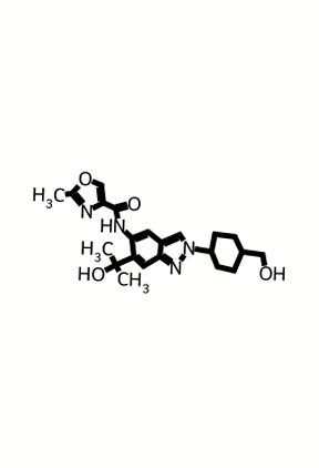 Cc1nc(C(=O)Nc2cc3cn(C4CCC(CO)CC4)nc3cc2C(C)(C)O)co1